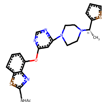 CC(=O)Nc1nc2c(Oc3cc(N4CCN([C@@H](C)c5cccs5)CC4)ncn3)cccc2s1